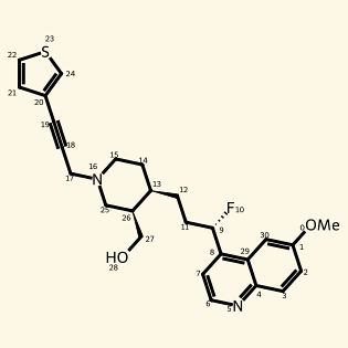 COc1ccc2nccc([C@@H](F)CC[C@@H]3CCN(CC#Cc4ccsc4)C[C@@H]3CO)c2c1